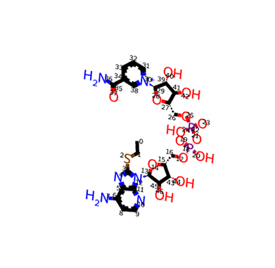 CCSc1nc2c(N)ccnc2n1[C@@H]1O[C@H](COP(=O)(O)OP(=O)(O)OC[C@@H]2O[C@H]([n+]3cccc(C(N)=O)c3)[C@H](O)C2O)[C@H](O)C1O